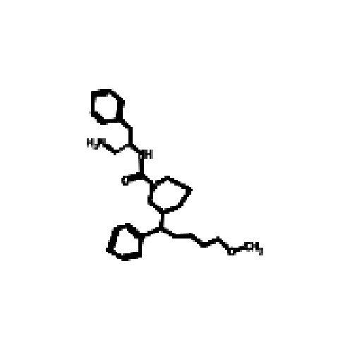 COCCCCC(c1ccccc1)[C@@H]1CCCN(C(=O)N[C@H](CN)Cc2ccccc2)C1